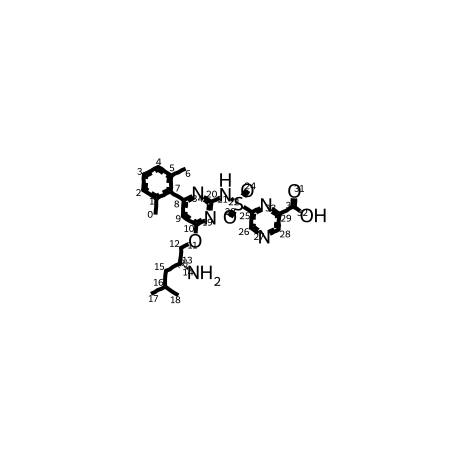 Cc1cccc(C)c1-c1cc(OC[C@H](N)CC(C)C)nc(NS(=O)(=O)c2cncc(C(=O)O)n2)n1